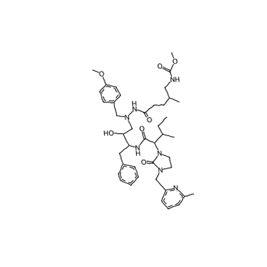 CCC(C)C(C(=O)NC(Cc1ccccc1)C(O)CN(Cc1ccc(OC)cc1)NC(=O)CCC(C)CNC(=O)OC)N1CCN(Cc2cccc(C)n2)C1=O